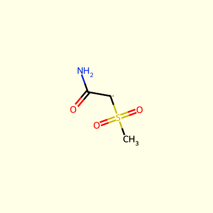 CS(=O)(=O)[CH]C(N)=O